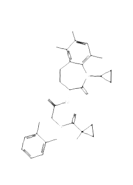 O=C(N[C@@H]1CCc2c(F)c(F)cc(F)c2N(C2CC2)C1=O)[C@@H](Cc1ccccc1F)NC(=O)C1(C(F)(F)F)CC1